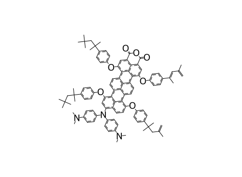 C=C(C)/C=C(\C)c1ccc(Oc2cc3c4c(cc(Oc5ccc(C(C)(C)CC(C)(C)C)cc5)c5c6ccc7c8c(Oc9ccc(C(C)(C)CC(C)(C)C)cc9)cc(N(c9ccc(N(C)C)cc9)c9ccc(N(C)C)cc9)c9ccc(Oc%10ccc(C(C)(C)CC(=C)C)cc%10)c(c%10ccc(c2c45)c6c%107)c98)C(=O)OC3=O)cc1